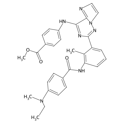 CCN(C)c1ccc(C(=O)Nc2cccc(-c3nc(Nc4ccc(C(=O)OC)cc4)c4nccn4n3)c2C)cc1